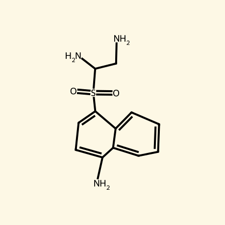 NCC(N)S(=O)(=O)c1ccc(N)c2ccccc12